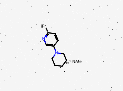 CN[C@@H]1CCCN(c2ccc(C(C)C)nc2)C1